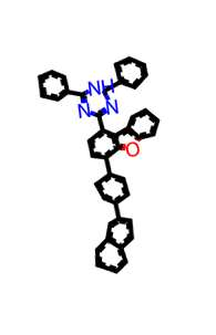 c1ccc(C2=NC(c3ccc(-c4ccc(-c5ccc6ccccc6c5)cc4)c4oc5ccccc5c34)=NC(c3ccccc3)N2)cc1